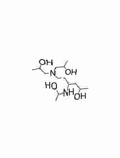 CC(O)CC(CCN(CC(C)O)CC(C)O)NC(C)O